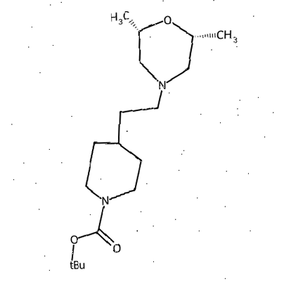 C[C@@H]1CN(CCC2CCN(C(=O)OC(C)(C)C)CC2)C[C@H](C)O1